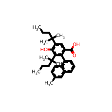 CCCC(C)(C)c1cc(C(=O)O)c(-c2cccc3cc(C)ccc23)c(C(C)(C)CCC)c1O